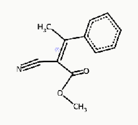 COC(=O)/C(C#N)=C(/C)c1ccccc1